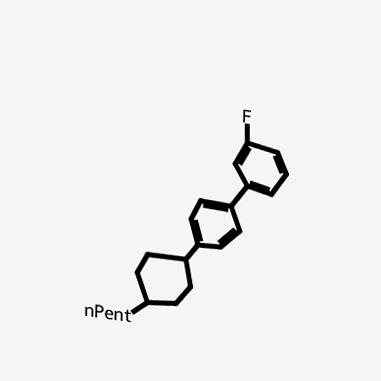 CCCCCC1CCC(c2ccc(-c3cccc(F)c3)cc2)CC1